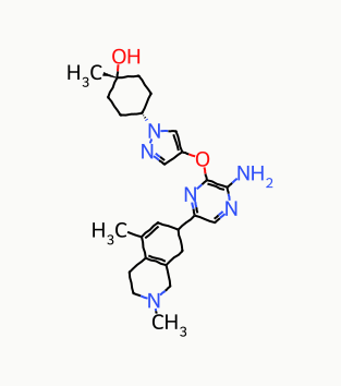 CC1=CC(c2cnc(N)c(Oc3cnn([C@H]4CC[C@@](C)(O)CC4)c3)n2)CC2=C1CCN(C)C2